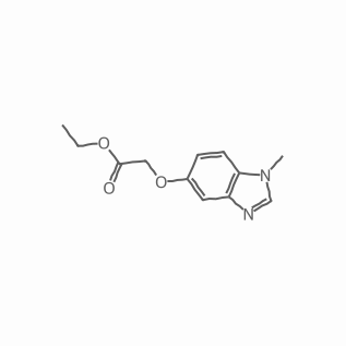 CCOC(=O)COc1ccc2c(c1)ncn2C